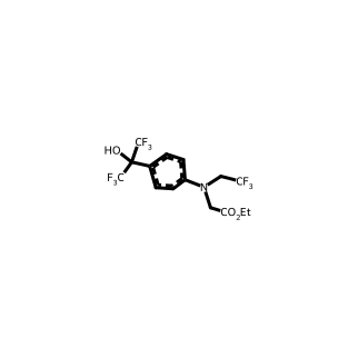 CCOC(=O)CN(CC(F)(F)F)c1ccc(C(O)(C(F)(F)F)C(F)(F)F)cc1